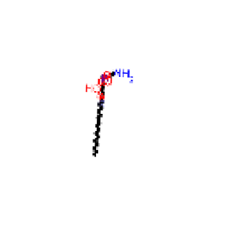 CCCCCCCCCCCCCC/C=C/OCC(O)COP(C)(=O)OCCN